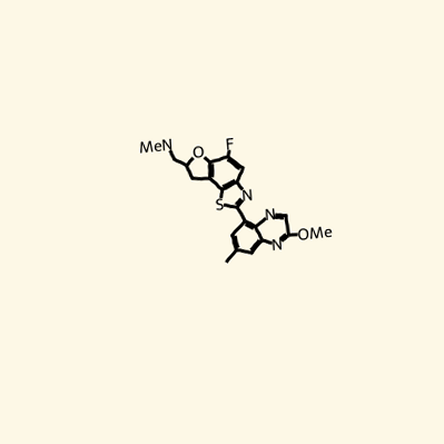 CNCC1Cc2c(c(F)cc3nc(-c4cc(C)cc5nc(OC)cnc45)sc23)O1